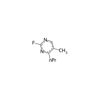 CCCc1nc(F)ncc1C